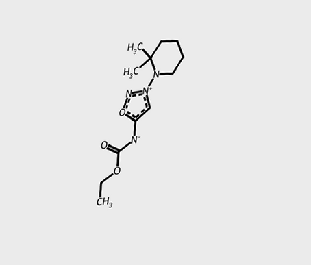 CCOC(=O)[N-]c1c[n+](N2CCCCC2(C)C)no1